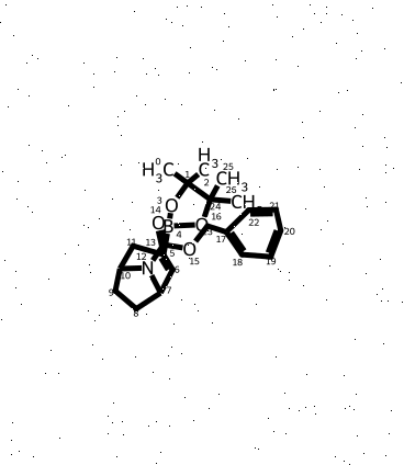 CC1(C)OB(C2=CC3CCC(C2)N3C(=O)OCc2ccccc2)OC1(C)C